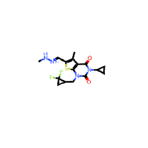 CN/N=C/c1sc2c(c1C)c(=O)n(C1CC1)c(=O)n2CC1CC1(F)F